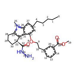 CCCCCc1cc(OCCc2cccc(C(=O)OC)c2)c2c3c(n(C)c2c1)CCC[C@@H]3C(=O)NN